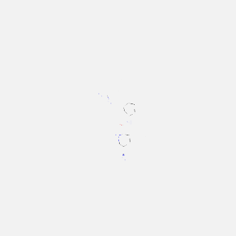 COC[C@@]1(C)C[C@@](CF)(c2cc(NC(=O)c3ncc(C#N)cc3C)ccc2F)N=C(N)S1